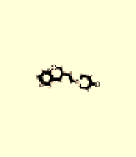 O=C1CCN(CCC2COc3ccccc3C2)CC1